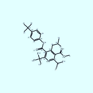 COC(=O)c1c(C(F)F)nc(C(F)(F)F)c(C(=O)Sc2ccc(C(C)(C)C)cc2)c1CC(C)C